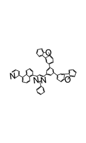 c1ccc(-c2nc(-c3cc(-c4ccc5oc6ccccc6c5c4)cc(-c4ccc5oc6ccccc6c5c4)c3)cc(-c3cccc4c(-c5cccnc5)cccc34)n2)cc1